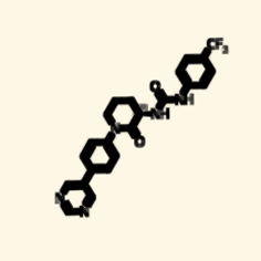 O=C(Nc1ccc(C(F)(F)F)cc1)N[C@@H]1CCCN(c2ccc(-c3cncnc3)cc2)C1=O